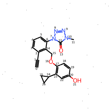 C#Cc1cccc(-n2nnn(C)c2=O)c1COc1ccc(O)cc1C1CC1